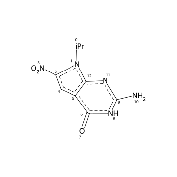 CC(C)n1c([N+](=O)[O-])cc2c(=O)[nH]c(N)nc21